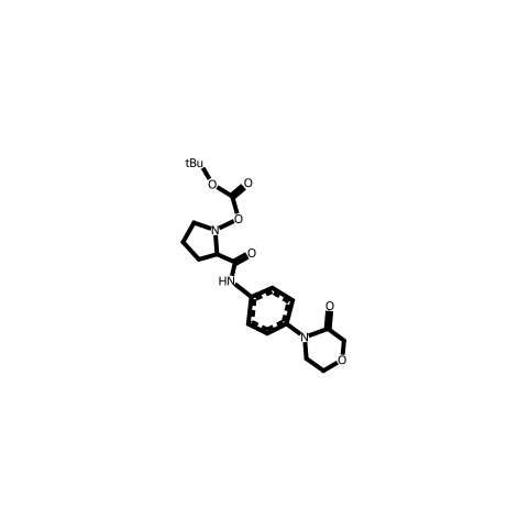 CC(C)(C)OC(=O)ON1CCCC1C(=O)Nc1ccc(N2CCOCC2=O)cc1